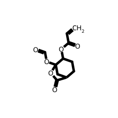 C=CC(=O)OC1CCC2CC1(OC=O)OC2=O